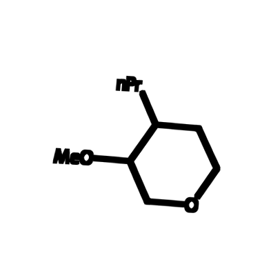 CCCC1CCOCC1OC